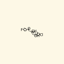 C[N+]1(CCCC(=O)c2ccc(F)cc2)CCC(O)(c2ccc(Cl)cc2)CC1